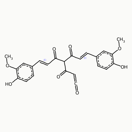 COc1cc(/C=C/C(=O)C(C(=O)C=C=O)C(=O)/C=C/c2ccc(O)c(OC)c2)ccc1O